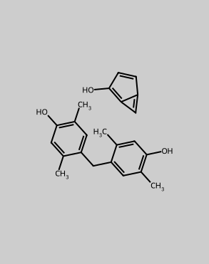 Cc1cc(Cc2cc(C)c(O)cc2C)c(C)cc1O.Oc1ccc2cc1-2